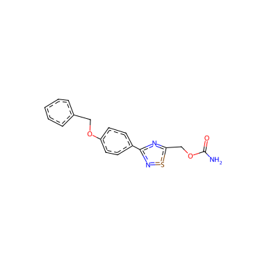 NC(=O)OCc1nc(-c2ccc(OCc3ccccc3)cc2)ns1